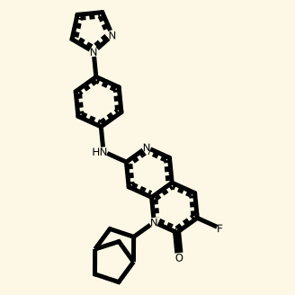 O=c1c(F)cc2cnc(Nc3ccc(-n4cccn4)cc3)cc2n1C1CC2CCC1C2